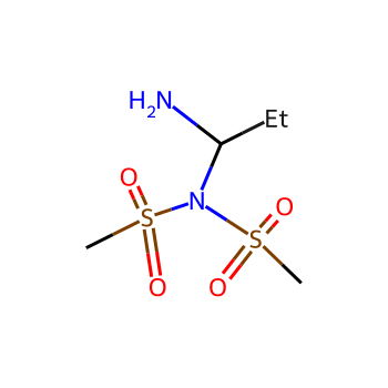 CCC(N)N(S(C)(=O)=O)S(C)(=O)=O